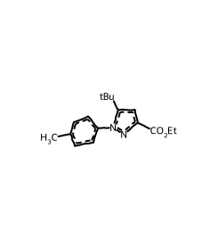 CCOC(=O)c1cc(C(C)(C)C)n(-c2ccc(C)cc2)n1